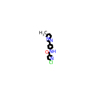 Cc1ccc2nc(-c3ccc(NC(=O)c4ccc(Cl)nc4)cc3)cn2c1